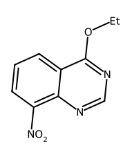 CCOc1ncnc2c([N+](=O)[O-])cccc12